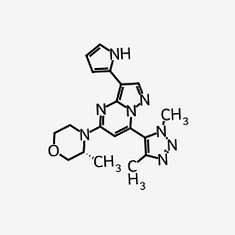 Cc1nnn(C)c1-c1cc(N2CCOC[C@H]2C)nc2c(-c3ccc[nH]3)cnn12